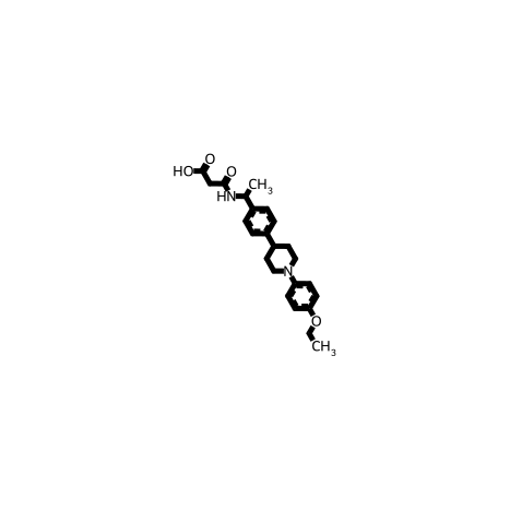 CCOc1ccc(N2CCC(c3ccc(C(C)NC(=O)CC(=O)O)cc3)CC2)cc1